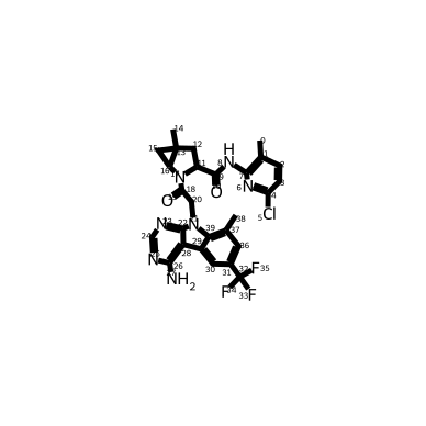 Cc1ccc(Cl)nc1NC(=O)C1CC2(C)CC2N1C(=O)Cn1c2ncnc(N)c2c2cc(C(F)(F)F)cc(C)c21